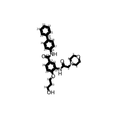 O=C(CN1CCOCC1)Nc1cc(C(=O)Nc2ccc(-c3ccccc3)cc2)ccc1OCCCO